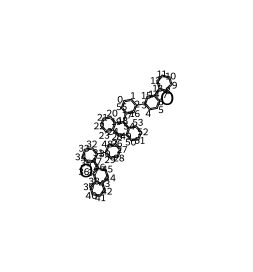 c1cc(-c2ccc3oc4ccccc4c3c2)cc(-c2c3ccccc3c(-c3cccc(-c4cccc5oc6c7ccccc7ccc6c45)c3)c3ccccc23)c1